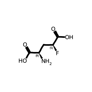 N[C@H](C[C@H](F)C(=O)O)C(=O)O